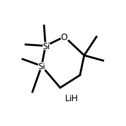 CC1(C)CC[Si](C)(C)[Si](C)(C)O1.[LiH]